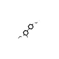 CCOc1ccc(-c2ccc(OCO)cc2)cc1C